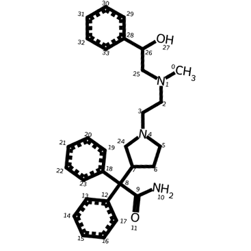 CN(CCN1CCC(C(C(N)=O)(c2ccccc2)c2ccccc2)C1)CC(O)c1ccccc1